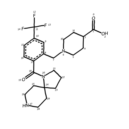 O=C(O)C1CCN(Cc2cc(C(F)(F)F)ccc2C(=O)N2CCCC23CCNCC3)CC1